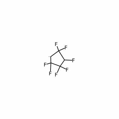 FC1C(F)(F)[CH]C(F)(F)C1(F)F